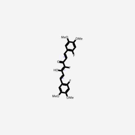 COc1cc(F)c(/C=C/C(=O)/C(F)=C(O)/C=C/c2cc(OC)c(OC)cc2F)cc1OC